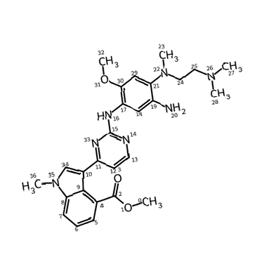 COC(=O)c1cccc2c1c(-c1ccnc(Nc3cc(N)c(N(C)CCN(C)C)cc3OC)n1)cn2C